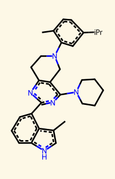 Cc1ccc(C(C)C)cc1N1CCc2nc(-c3cccc4[nH]cc(C)c34)nc(N3CCCCC3)c2C1